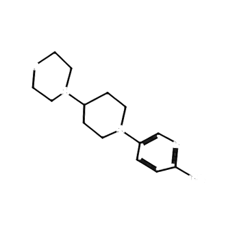 Nc1ccc(N2CCC(N3CCSCC3)CC2)cn1